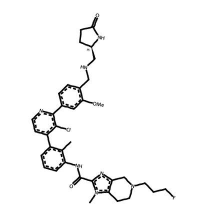 COc1cc(-c2nccc(-c3cccc(NC(=O)c4nc5c(n4C)CCN(CCCF)C5)c3C)c2Cl)ccc1CNC[C@H]1CCC(=O)N1